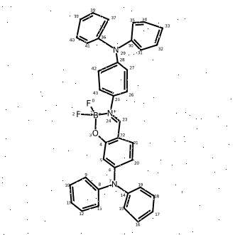 F[B-]1(F)Oc2cc(N(c3ccccc3)c3ccccc3)ccc2C=[N+]1c1ccc(N(c2ccccc2)c2ccccc2)cc1